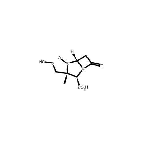 C[C@]1(CSC#N)[C@H](C(=O)O)N2C(=O)C[C@H]2[S+]1[O-]